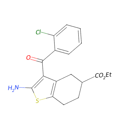 CCOC(=O)C1CCc2sc(N)c(C(=O)c3ccccc3Cl)c2C1